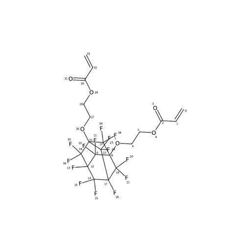 C=CC(=O)OCCOC12C(F)(F)C3(F)C(F)(F)C(F)(C1(F)F)C(F)(F)C(OCCOC(=O)C=C)(C3(F)F)C2(F)F